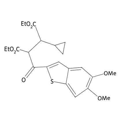 CCOC(=O)C(C(=O)c1cc2cc(OC)c(OC)cc2s1)C(C(=O)OCC)C1CC1